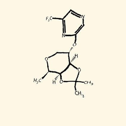 C[C@H]1OC[C@H](Oc2cncc(C(F)(F)F)n2)[C@H]2OC(C)(C)O[C@H]21